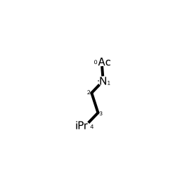 CC(=O)[N]CCC(C)C